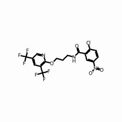 O=C(NCCCOc1ncc(C(F)(F)F)cc1C(F)(F)F)c1cc([N+](=O)[O-])ccc1Cl